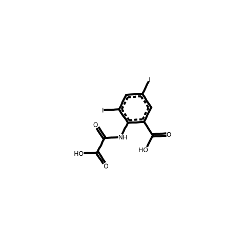 O=C(O)C(=O)Nc1c(I)cc(I)cc1C(=O)O